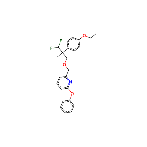 CCOc1ccc(C(C)(COCc2cccc(Oc3ccccc3)n2)C(F)F)cc1